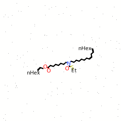 CCCCCC/C=C\C/C=C\CCCCCCCN(CCCCCCCC(=O)OC/C=C\CCCCCC)C(=O)SCC